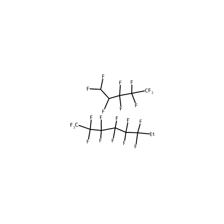 CCC(F)(F)C(F)(F)C(F)(F)C(F)(F)C(F)(F)C(F)(F)F.FC(F)C(F)C(F)(F)C(F)(F)C(F)(F)F